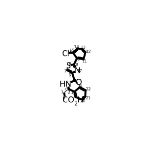 O=C(O)C[C@H](NC(=O)c1csc(-c2ccccc2Cl)n1)c1ccccc1